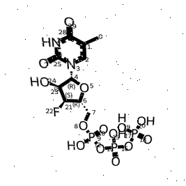 Cc1cn([C@@H]2O[C@H](COP(=O)(O)OP(=O)(O)OP(=O)(O)O)[C@@H](F)[C@H]2O)c(=O)[nH]c1=O